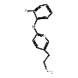 O=[N+]([O-])CCc1ccc(Oc2ccccc2F)nc1